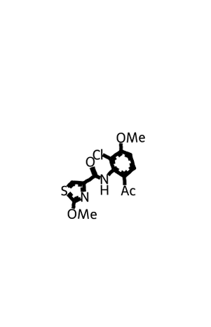 COc1nc(C(=O)Nc2c(C(C)=O)ccc(OC)c2Cl)cs1